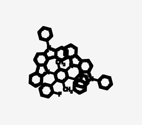 Cc1c(-c2ccccc2F)c(-n2c3ccccc3c3ccc4c(c5ccccc5n4-c4ccccc4)c32)c(C)c(-n2c3ccccc3c3ccc4c(c5ccccc5n4-c4ccccc4)c32)c1-c1ccccc1F